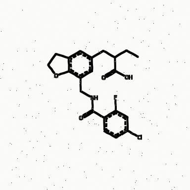 CCC(Cc1cc2c(c(CNC(=O)c3ccc(Cl)cc3F)c1)OCC2)C(=O)O